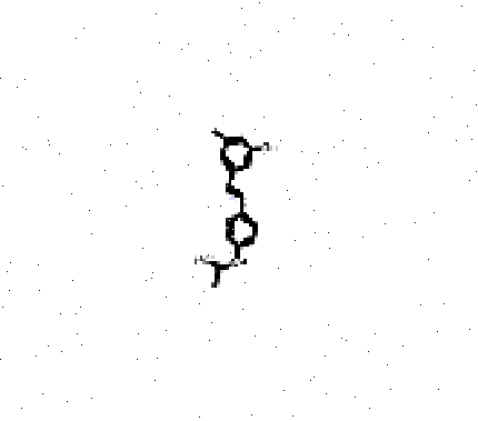 Cc1cc(O)cc(/C=C/c2ccc(NC(C)O)cc2)c1